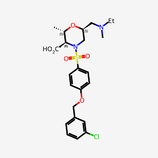 CCN(C)C[C@H]1CN(S(=O)(=O)c2ccc(OCc3cccc(Cl)c3)cc2)[C@@H](C(=O)O)[C@H](C)O1